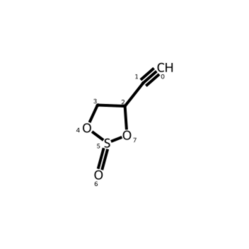 C#CC1COS(=O)O1